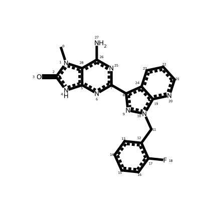 Cn1c(=O)[nH]c2nc(-c3nn(Cc4ccccc4F)c4ncccc34)nc(N)c21